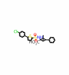 CC12C(c3ccccc3)C1C2(NS(=O)(=O)c1ccc(-c2ccc(Cl)cc2)s1)C(=O)O